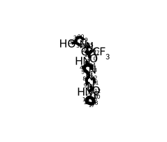 O=C(Nc1ccc(N2CCN(C(=O)Nc3ccccc3F)CC2)nc1)c1oc(N2CCCC(O)C2)nc1C(F)(F)F